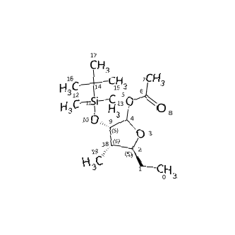 CC[C@@H]1OC(OC(C)=O)[C@@H](O[Si](C)(C)C(C)(C)C)[C@H]1C